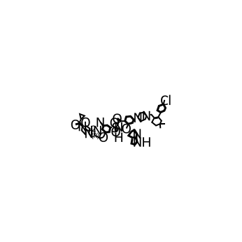 CC1(C)CCC(CN2CCN(c3ccc(C(=O)NS(=O)(=O)c4cc5c(c([N+](=O)[O-])c4)N[C@H](CN4CCN(C(=O)C6CC6)CC4)CO5)c(Oc4cnc5[nH]ccc5c4)c3)CC2)=C(c2ccc(Cl)cc2)C1